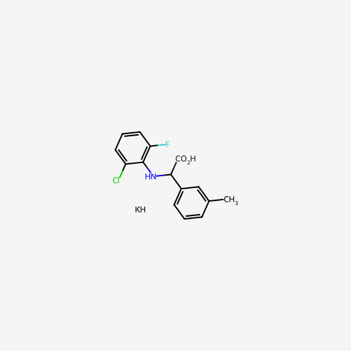 Cc1cccc(C(Nc2c(F)cccc2Cl)C(=O)O)c1.[KH]